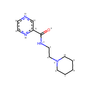 O=C(NCCN1CCCCC1)c1cnccn1